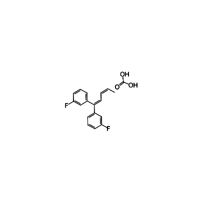 C/C=C\C=C(c1cccc(F)c1)c1cccc(F)c1.O=C(O)O